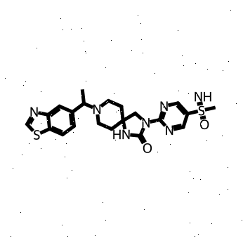 CC(c1ccc2scnc2c1)N1CCC2(CC1)CN(c1ncc(S(C)(=N)=O)cn1)C(=O)N2